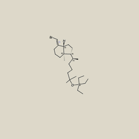 CC[Si](CC)(CC)OC(C)(C)CCC[C@H](C)[C@H]1CC[C@H]2/C(=C/Br)CCC[C@]12C